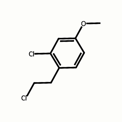 COc1ccc(CCCl)c(Cl)c1